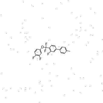 Cc1ccc(-c2ccc(C(F)(F)Oc3ccc(F)c(F)c3)c(F)c2)cc1